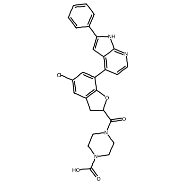 O=C(O)N1CCN(C(=O)C2Cc3cc(Cl)cc(-c4ccnc5[nH]c(-c6ccccc6)cc45)c3O2)CC1